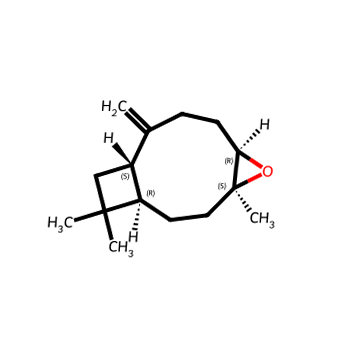 C=C1CC[C@H]2O[C@@]2(C)CC[C@@H]2[C@@H]1CC2(C)C